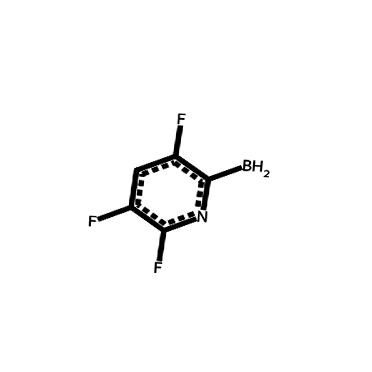 Bc1nc(F)c(F)cc1F